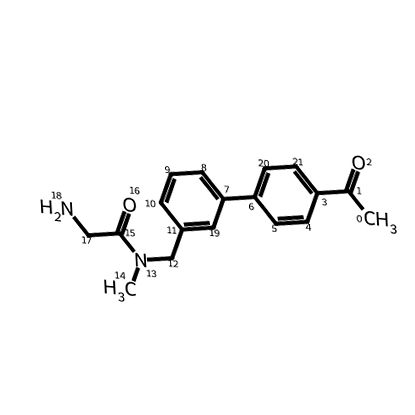 CC(=O)c1ccc(-c2cccc(CN(C)C(=O)CN)c2)cc1